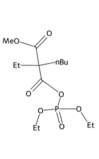 CCCCC(CC)(C(=O)OC)C(=O)OP(=O)(OCC)OCC